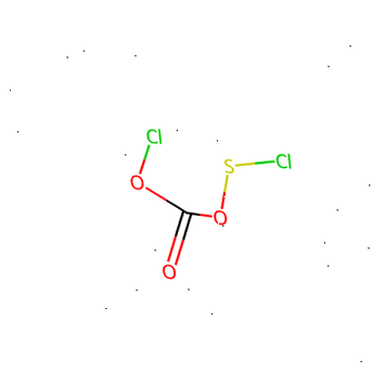 O=C(OCl)OSCl